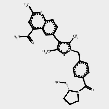 Cc1nn(Cc2ccc(C(=O)N3CCC[C@@H]3CO)cc2)c(C)c1-c1ccc2nc(C(F)(F)F)cc(C(N)=O)c2c1